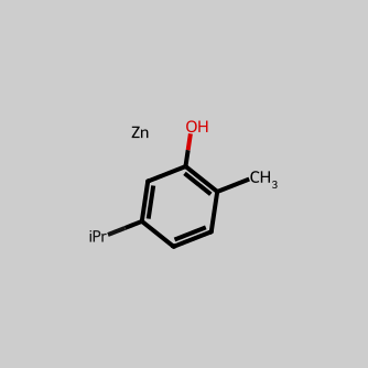 Cc1ccc(C(C)C)cc1O.[Zn]